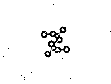 C1=CCCC(C2=CC3c4c(-c5cccc6c5c5cc(-c7ccccc7)ccc5n6-c5ccccc5)cccc4N(c4ccccc4)C3C=C2)=C1